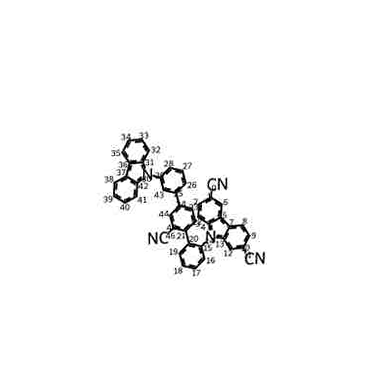 N#Cc1ccc2c(c1)c1ccc(C#N)cc1n2-c1ccccc1-c1ccc(-c2cccc(-n3c4ccccc4c4ccccc43)c2)cc1C#N